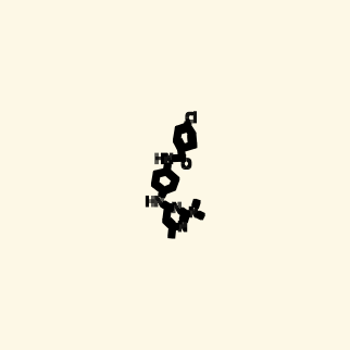 Cc1cc(NC2CCC(NC(=O)c3ccc(Cl)cc3)CC2)nc(N(C)C)n1